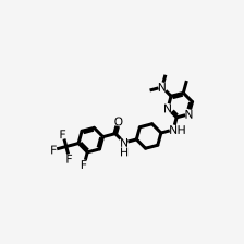 Cc1cnc(NC2CCC(NC(=O)c3ccc(C(F)(F)F)c(F)c3)CC2)nc1N(C)C